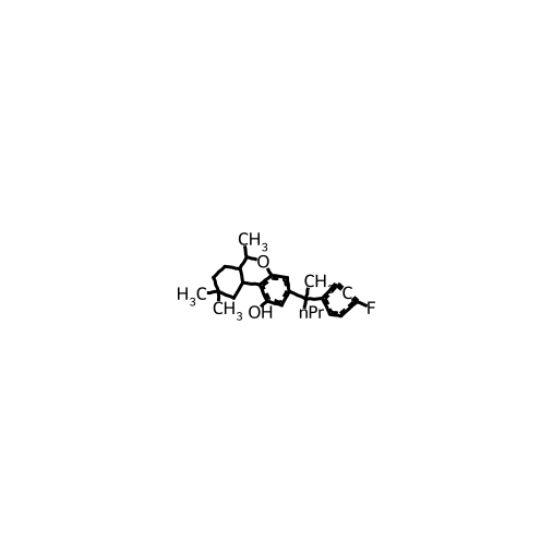 CCCC(C)(c1ccc(F)cc1)c1cc(O)c2c(c1)OC(C)C1CCC(C)(C)CC21